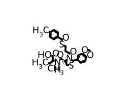 Cc1ccc(C(=O)SCCC(=O)N2C(c3ccc4c(c3)OCO4)SC[C@H]2C(=O)N[C@H](C(=O)O)C(C)C)cc1